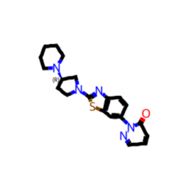 O=c1cccnn1-c1ccc2nc(N3CC[C@@H](N4CCCCC4)C3)sc2c1